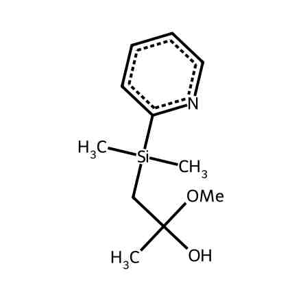 COC(C)(O)C[Si](C)(C)c1ccccn1